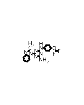 Cc1nc2ccccc2n1-c1nc(N)nc(Nc2ccc(OC(F)F)cc2)n1